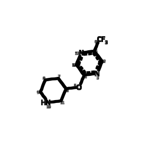 FC(F)(F)c1cnc(OC2CCCNC2)cn1